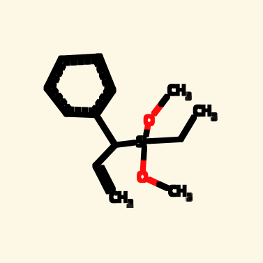 C=CC(c1ccccc1)[Si](CC)(OC)OC